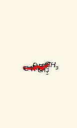 COc1ccc(COc2ccc(Oc3c(C)cc(/C=C/C(=O)N4CCN(Cc5ccc(/C=C/COc6ccccc6)cc5)CC4)cc3C)nc2)cc1